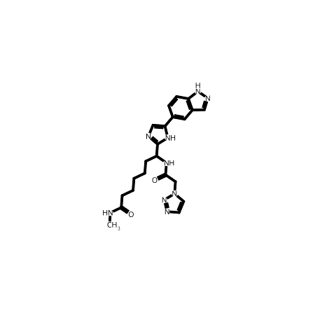 CNC(=O)CCCCCC(NC(=O)Cn1ccnn1)c1ncc(-c2ccc3[nH]ncc3c2)[nH]1